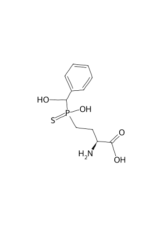 N[C@@H](CCP(O)(=S)C(O)c1ccccc1)C(=O)O